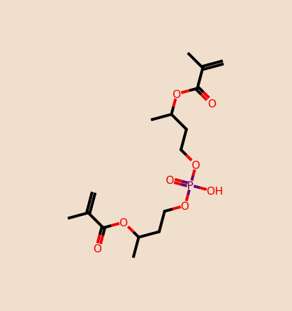 C=C(C)C(=O)OC(C)CCOP(=O)(O)OCCC(C)OC(=O)C(=C)C